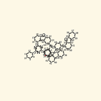 c1ccc(-c2nc(-c3ccccc3)nc(-c3cccc4oc5ccc(N6c7ccccc7C7(c8ccccc8-c8ccccc87)c7cc(-c8cccc9c8oc8ccccc89)ccc76)cc5c34)n2)cc1